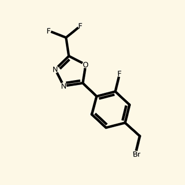 Fc1cc(CBr)ccc1-c1nnc(C(F)F)o1